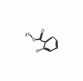 CCOC(=O)c1ccccc1[O]